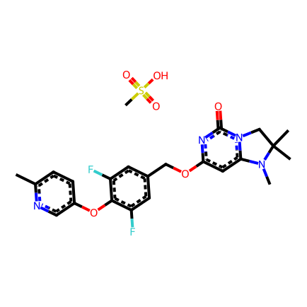 CS(=O)(=O)O.Cc1ccc(Oc2c(F)cc(COc3cc4n(c(=O)n3)CC(C)(C)N4C)cc2F)cn1